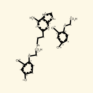 CC(C)CCc1nc(N)c2[nH]cnc2n1.O=C(O)COc1ccc(Cl)cc1Cl.O=C(O)COc1ccc(Cl)cc1Cl